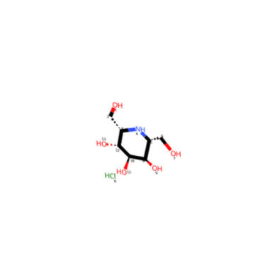 Cl.OC[C@@H]1N[C@H](CO)[C@@H](O)[C@@H](O)[C@@H]1O